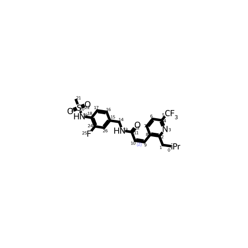 CC(C)Cc1nc(C(F)(F)F)ccc1/C=C\C(=O)NCc1ccc(NS(C)(=O)=O)c(F)c1